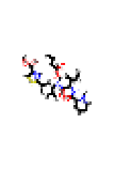 CCCC(=O)OCN(C(=O)[C@@H](NC(=O)C1CCCCN1C)C(C)CC)[C@H](C[C@@H](C)c1nc(C(=O)OC)cs1)C(C)C